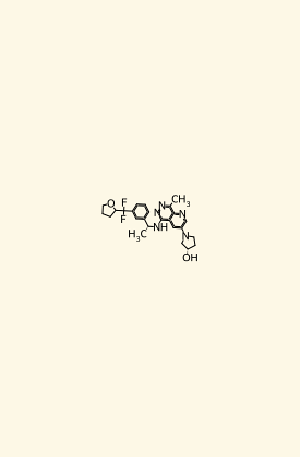 Cc1nnc(N[C@H](C)c2cccc(C(F)(F)C3CCCO3)c2)c2cc(N3CC[C@H](O)C3)cnc12